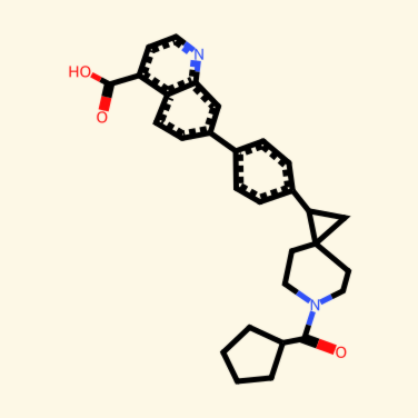 O=C(O)c1ccnc2cc(-c3ccc(C4CC45CCN(C(=O)C4CCCC4)CC5)cc3)ccc12